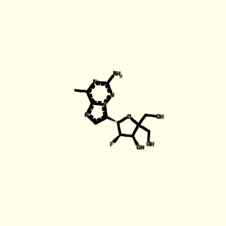 Cc1nc(N)nn2c([C@@H]3OC(CO)(CO)[C@@H](O)[C@H]3F)cnc12